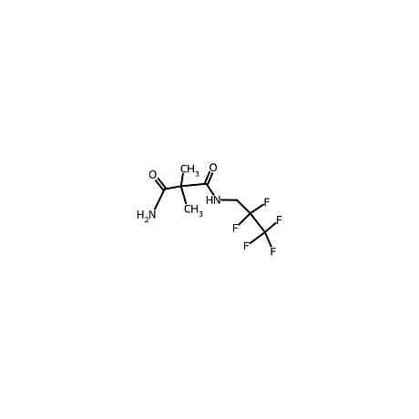 CC(C)(C(N)=O)C(=O)NCC(F)(F)C(F)(F)F